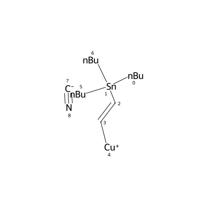 CCC[CH2][Sn]([CH]=[CH][Cu+])([CH2]CCC)[CH2]CCC.[C-]#N